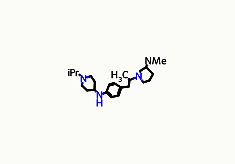 CNC1CCCN(C(C)Cc2ccc(NC3CCN(C(C)C)CC3)cc2)C1